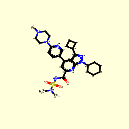 CC(C)N1CCN(c2ccc(-c3cc(C(=O)NS(=O)(=O)N(C)C)nc4c3c(C3CCC3)nn4C3CCCCC3)cn2)CC1